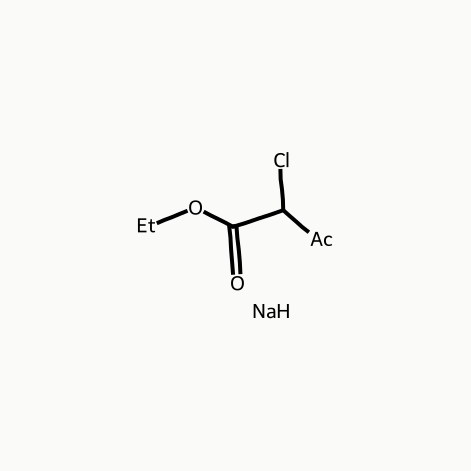 CCOC(=O)C(Cl)C(C)=O.[NaH]